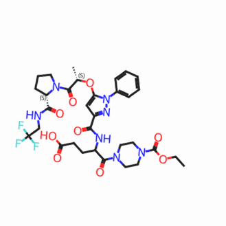 CCOC(=O)N1CCN(C(=O)C(CCC(=O)O)NC(=O)c2cc(O[C@@H](C)C(=O)N3CCC[C@H]3C(=O)NCC(F)(F)F)n(-c3ccccc3)n2)CC1